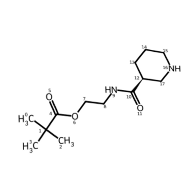 CC(C)(C)C(=O)OCCNC(=O)[C@H]1CCCNC1